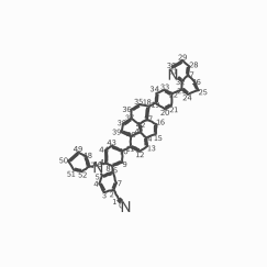 N#Cc1ccc2c(c1)c1cc(-c3ccc4ccc5c(-c6ccc(-c7cccc8cccnc78)cc6)ccc6ccc3c4c65)ccc1n2-c1ccccc1